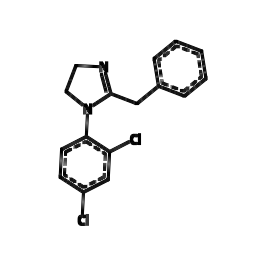 Clc1ccc(N2CCN=C2Cc2ccccc2)c(Cl)c1